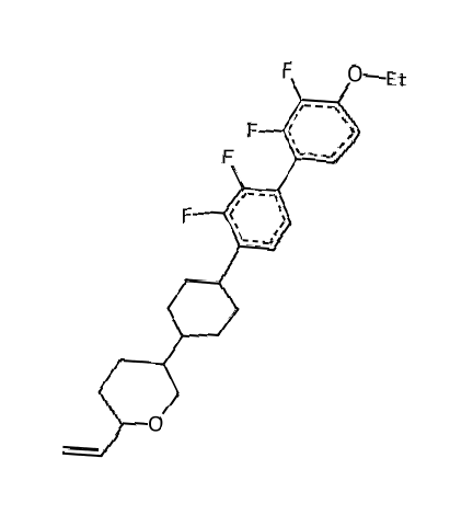 C=CC1CCC(C2CCC(c3ccc(-c4ccc(OCC)c(F)c4F)c(F)c3F)CC2)CO1